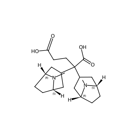 CN1[C@@H]2CC[C@H]1CC(C(CCC(=O)O)(C(=O)O)C1C[C@H]3CC[C@@H](C1)N3C)C2